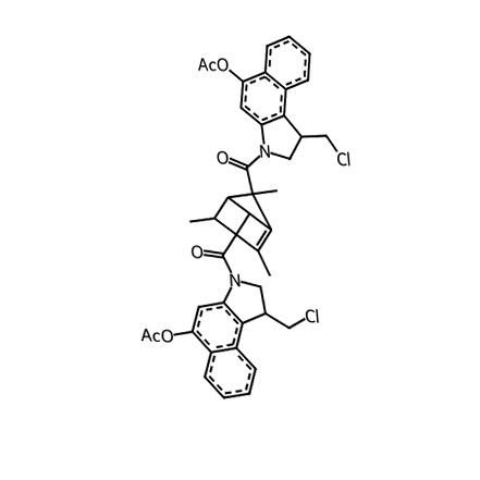 CC(=O)Oc1cc2c(c3ccccc13)C(CCl)CN2C(=O)C1(C)C2=C(C)C3(C(=O)N4CC(CCl)c5c4cc(OC(C)=O)c4ccccc54)C(C)C1C23